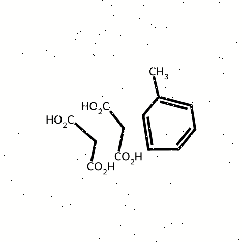 Cc1ccccc1.O=C(O)CC(=O)O.O=C(O)CC(=O)O